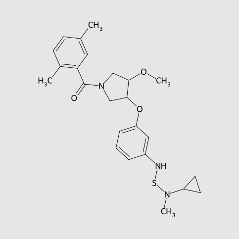 COC1CN(C(=O)c2cc(C)ccc2C)CC1Oc1cccc(NSN(C)C2CC2)c1